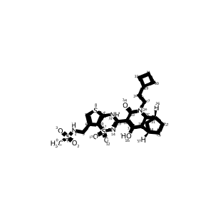 CS(=O)(=O)NCc1csc2c1S(=O)(=O)N=C(C1=C(O)C3C([C@@H]4CC[C@H]3C4)N(CCC3CCC3)C1=O)N2